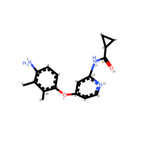 Cc1c(N)ccc(Oc2ccnc(NC(=O)C3CC3)c2)c1C